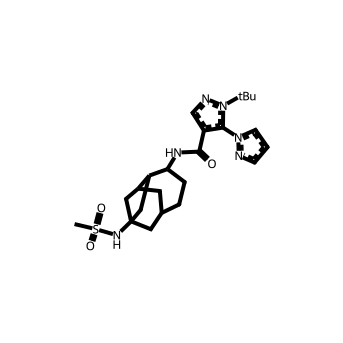 CC(C)(C)n1ncc(C(=O)NC2CCC3CC4CC(NS(C)(=O)=O)(C3)CC42)c1-n1cccn1